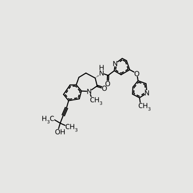 Cc1ccc(Oc2ccnc(C(=O)N[C@H]3CCc4ccc(C#CC(C)(C)O)cc4N(C)C3=O)c2)cn1